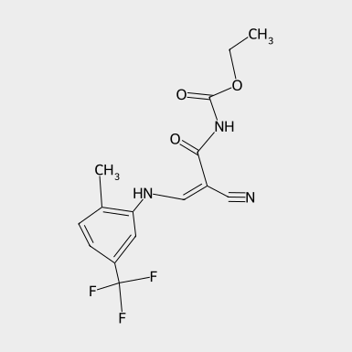 CCOC(=O)NC(=O)/C(C#N)=C\Nc1cc(C(F)(F)F)ccc1C